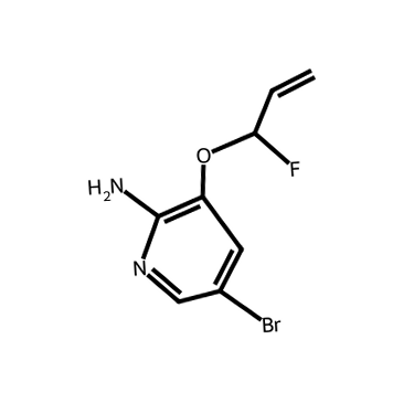 C=CC(F)Oc1cc(Br)cnc1N